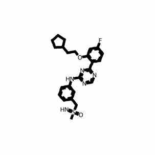 CS(=N)(=O)Cc1cccc(Nc2ncnc(-c3ccc(F)cc3OCCC3CCCC3)n2)c1